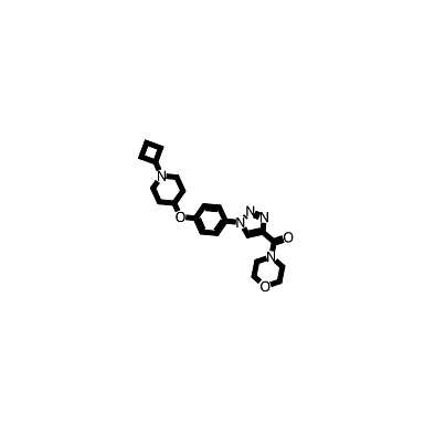 O=C(c1cn(-c2ccc(OC3CCN(C4CCC4)CC3)cc2)nn1)N1CCOCC1